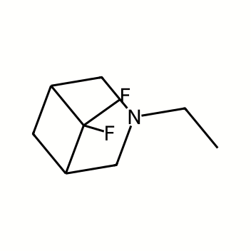 CCN1CC2CC(C1)C2(F)F